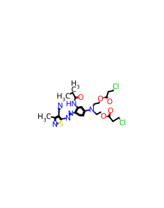 Cc1nsc(N=Nc2ccc(N(CCOC(=O)CCCl)CCOC(=O)CCCl)cc2NC(=O)C(C)C)c1C#N